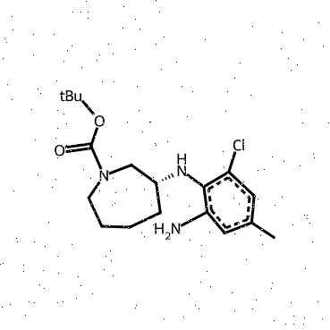 Cc1cc(N)c(N[C@@H]2CCCCN(C(=O)OC(C)(C)C)C2)c(Cl)c1